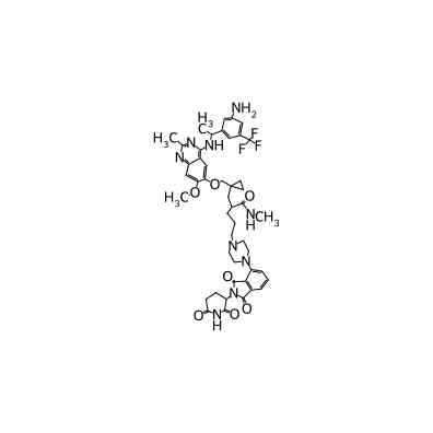 CNC(=O)C(CCCN1CCN(c2cccc3c2C(=O)N(C2CCC(=O)NC2=O)C3=O)CC1)CC1(COc2cc3c(NC(C)c4cc(N)cc(C(F)(F)F)c4)nc(C)nc3cc2OC)CC1